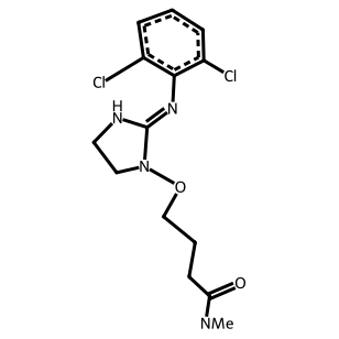 CNC(=O)CCCON1CCN/C1=N\c1c(Cl)cccc1Cl